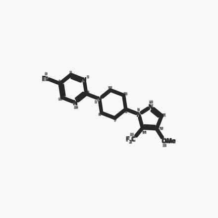 CCc1cnc(N2CCC(n3ncc(OC)c3C(F)(F)F)CC2)nc1